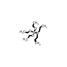 C=CCN(CCC)[Si](OCC)(OCC)OCC